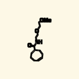 COCCOCCNC(=O)C1CC/C=C\CCC1